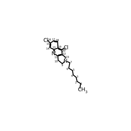 CCCCCCCCN1CCc2nc3cc(Cl)ccc3c(Cl)c2C1